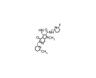 Cc1cccc(Cn2ncc3c(c(C=N)c(C(=O)NCc4cccc(F)n4)n3C)c2=O)n1